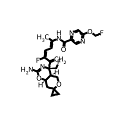 C=C(/C(F)=C\C=C(/C)NC(=O)c1cnc(OCF)cn1)[C@@]1(CF)N=C(N)O[C@@H]2CC3(CC3)OC[C@@H]21